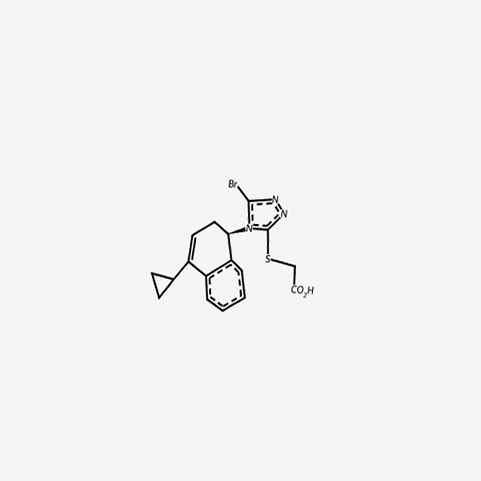 O=C(O)CSc1nnc(Br)n1[C@@H]1CC=C(C2CC2)c2ccccc21